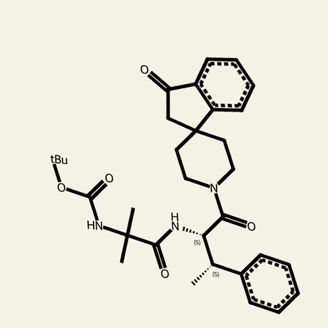 C[C@@H](c1ccccc1)[C@H](NC(=O)C(C)(C)NC(=O)OC(C)(C)C)C(=O)N1CCC2(CC1)CC(=O)c1ccccc12